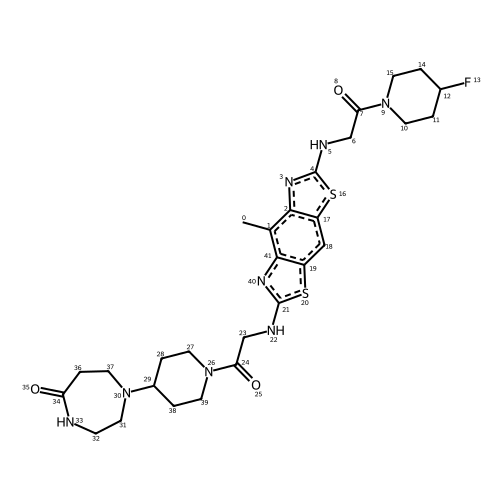 Cc1c2nc(NCC(=O)N3CCC(F)CC3)sc2cc2sc(NCC(=O)N3CCC(N4CCNC(=O)CC4)CC3)nc12